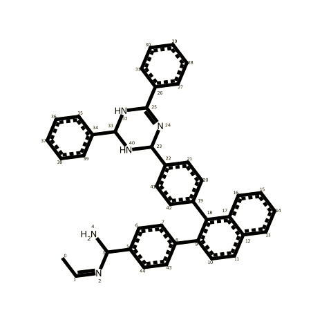 C/C=N\C(N)c1ccc(-c2ccc3ccccc3c2-c2ccc(C3N=C(c4ccccc4)NC(c4ccccc4)N3)cc2)cc1